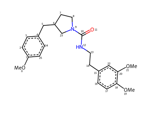 COc1ccc(CC2CCN(C(=O)NCCc3ccc(OC)c(OC)c3)C2)cc1